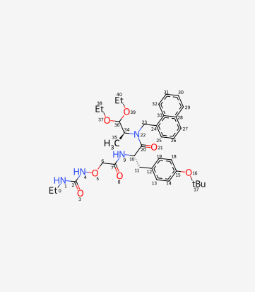 CCNC(=O)NOCC(=O)N[C@@H](Cc1ccc(OC(C)(C)C)cc1)C(=O)N(Cc1cccc2ccccc12)[C@@H](C)C(OCC)OCC